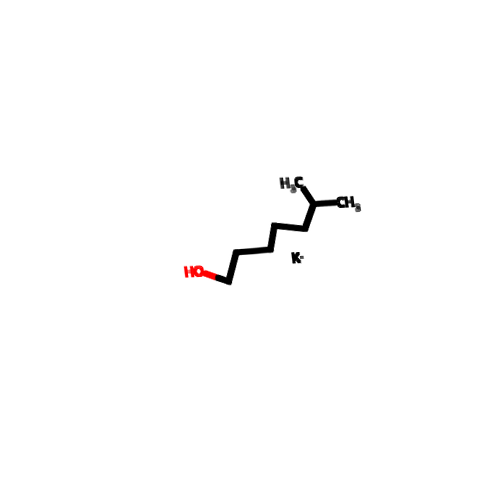 CC(C)CCCCCO.[K]